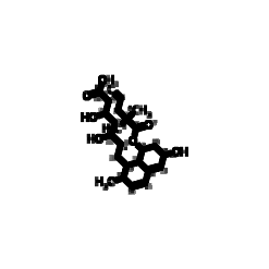 C=CCC(C)(C)C(=O)OC1CC(O)C=C2C=CC(C)C(CCC(O)CC(O)CC(=O)O)C21